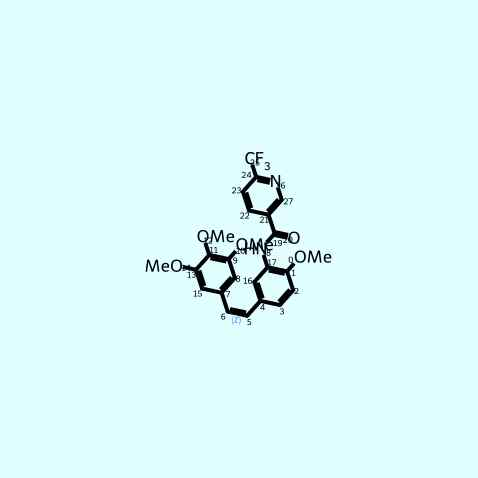 COc1ccc(/C=C\c2cc(OC)c(OC)c(OC)c2)cc1NC(=O)c1ccc(C(F)(F)F)nc1